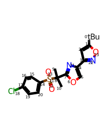 CC(C)(C)c1cc(-c2coc(C(C)(C)S(=O)(=O)c3ccc(Cl)cc3)n2)no1